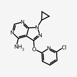 Nc1ncnc2c1c(Oc1cccc(Cl)n1)nn2C1CC1